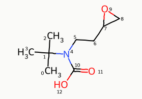 CC(C)(C)N(CCC1CO1)C(=O)O